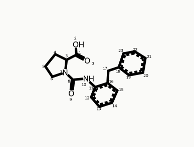 O=C(O)C1CCCN1C(=O)Nc1ccccc1Cc1ccccc1